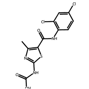 Cc1nc(NC(=O)O)sc1C(=O)Nc1ccc(Cl)cc1Cl